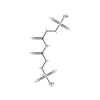 O=C(CCS(=O)(=O)O)OC(=O)CCS(=O)(=O)O